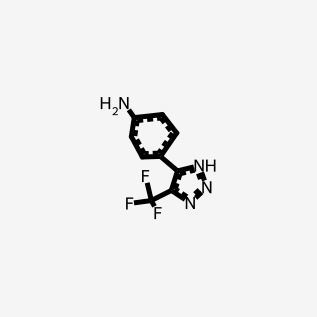 Nc1ccc(-c2[nH]nnc2C(F)(F)F)cc1